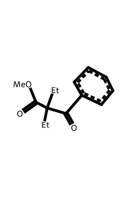 CCC(CC)(C(=O)OC)C(=O)c1ccccc1